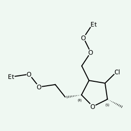 CCOOCC[C@H]1O[C@@H](C)C(Cl)C1COOCC